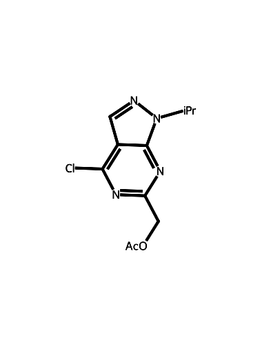 CC(=O)OCc1nc(Cl)c2cnn(C(C)C)c2n1